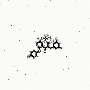 CC(C)(C)OC(=O)C(Cc1cc(F)cc(F)c1)C(=O)c1cccnc1Oc1ccc(F)cc1